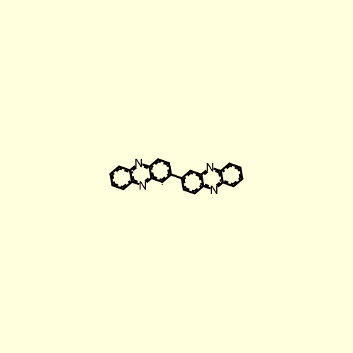 [c]1c(-c2ccc3nc4ccccc4nc3c2)ccc2nc3ccccc3nc12